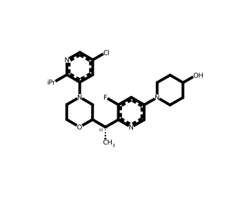 CC(C)c1ncc(Cl)cc1N1CCOC([C@@H](C)c2ncc(N3CCC(O)CC3)cc2F)C1